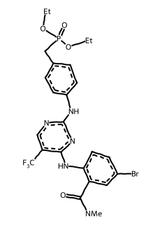 CCOP(=O)(Cc1ccc(Nc2ncc(C(F)(F)F)c(Nc3ccc(Br)cc3C(=O)NC)n2)cc1)OCC